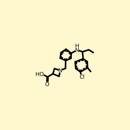 CCC(Nc1cccc(CN2CC(C(=O)O)C2)c1)c1ccc(Cl)c(C)c1